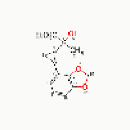 CCOC(=O)C(C)(O)C1CC1c1cccc2c1OCO2